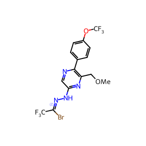 COCc1nc(N/N=C(\Br)C(F)(F)F)cnc1-c1ccc(OC(F)(F)F)cc1